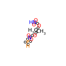 CC(C)(c1ccc(Oc2ccc3c(c2)C(=O)NC3=O)cc1)c1ccc(Oc2ccc3c(c2)C(=O)N(c2cccc([PH](c4ccccc4)(c4ccccc4)c4ccccc4)c2)C3=O)cc1